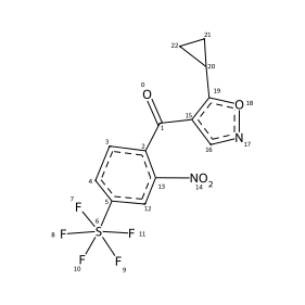 O=C(c1ccc(S(F)(F)(F)(F)F)cc1[N+](=O)[O-])c1cnoc1C1CC1